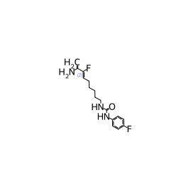 C=C(N)/C(F)=C/CCCCCNC(=O)Nc1ccc(F)cc1